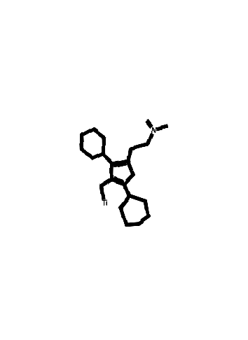 CN(C)CCC1=C(C2CCCCC2)C([CH2][Ti])=C(C2CCCCC2)C1